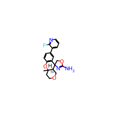 CC12CCOC[C@@H]1C1(COC(N)=N1)c1cc(-c3cccnc3F)ccc1O2